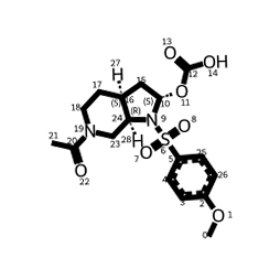 COc1ccc(S(=O)(=O)N2[C@@H](OC(=O)O)C[C@@H]3CCN(C(C)=O)C[C@@H]32)cc1